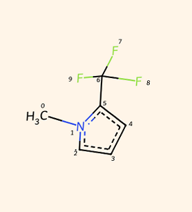 Cn1[c]ccc1C(F)(F)F